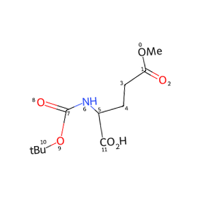 COC(=O)CCC(NC(=O)OC(C)(C)C)C(=O)O